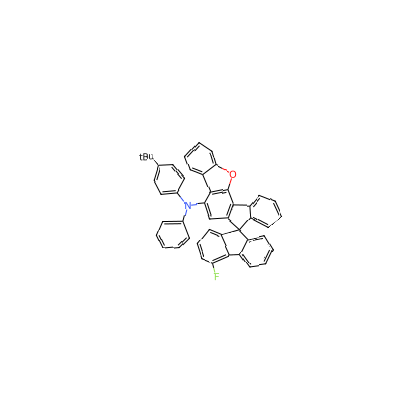 CC(C)(C)c1ccc(N(c2ccccc2)c2cc3c(c4oc5ccccc5c24)-c2ccccc2C32c3ccccc3-c3c(F)cccc32)cc1